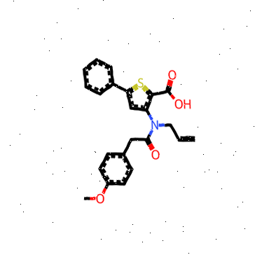 C=CCN(C(=O)Cc1ccc(OC)cc1)c1cc(-c2ccccc2)sc1C(=O)O